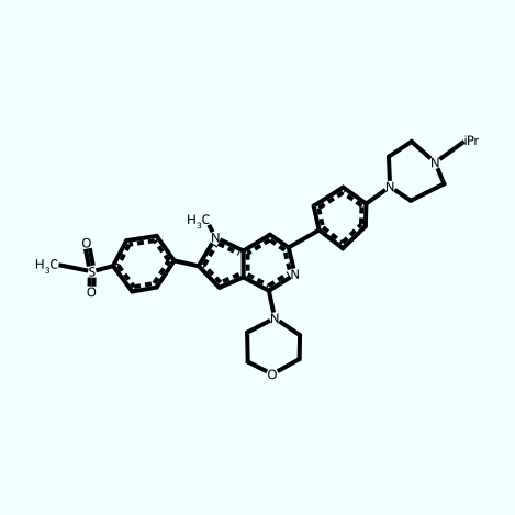 CC(C)N1CCN(c2ccc(-c3cc4c(cc(-c5ccc(S(C)(=O)=O)cc5)n4C)c(N4CCOCC4)n3)cc2)CC1